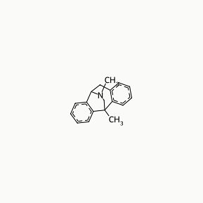 CN1CC2(C)c3ccccc3CC1c1ccccc12